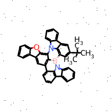 CC(C)(C)c1cc2c3c(c1)c1ccccc1n3-c1c3c(cc4c1oc1ccccc14)-c1cccc4c5ccccc5n(c14)B32